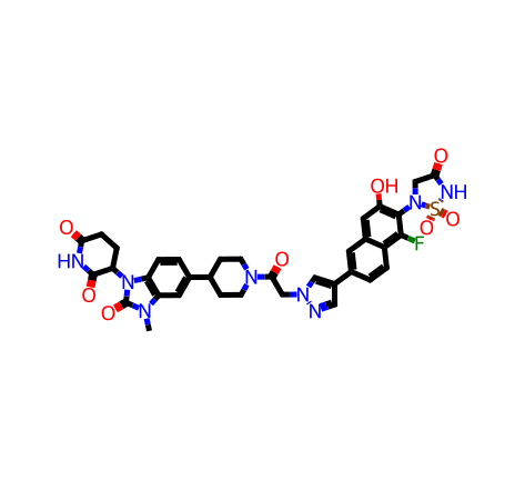 Cn1c(=O)n(C2CCC(=O)NC2=O)c2ccc(C3CCN(C(=O)Cn4cc(-c5ccc6c(F)c(N7CC(=O)NS7(=O)=O)c(O)cc6c5)cn4)CC3)cc21